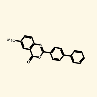 COc1ccc2nc(-c3ccc(-c4ccccc4)cc3)oc(=O)c2c1